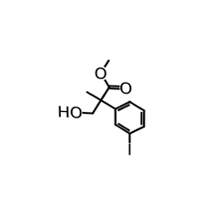 COC(=O)C(C)(CO)c1cccc(I)c1